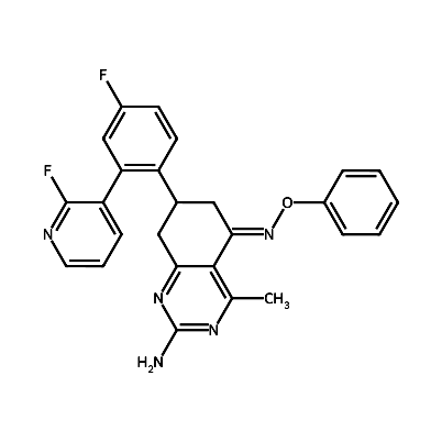 Cc1nc(N)nc2c1/C(=N/Oc1ccccc1)CC(c1ccc(F)cc1-c1cccnc1F)C2